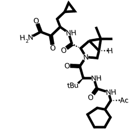 CC(=O)[C@@H](NC(=O)N[C@H](C(=O)N1C[C@H]2C([C@H]1C(=O)NC(CC1CC1)C(=O)C(N)=O)C2(C)C)C(C)(C)C)C1CCCCC1